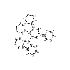 C1=CC2=C(CC1)c1cccc3c4ccccc4n(c13)-c1cc(-c3ccccc3)nc(C3=CNCC=C3)c12